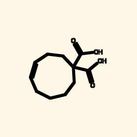 O=C(O)C1(C(=O)O)CCC=CCCCC1